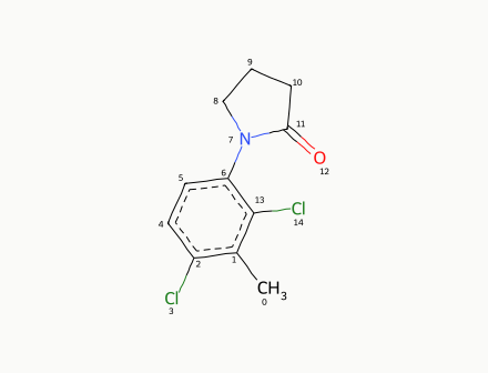 Cc1c(Cl)ccc(N2CCCC2=O)c1Cl